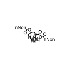 CCCCCCCCCC(=O)OC(=O)C[C@H](N)C(=O)OC(=O)CCCCCCCCC.[NaH].[NaH]